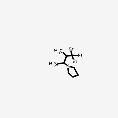 CCC(CC)(CC)[C](C)C([SiH3])N1CCCC1